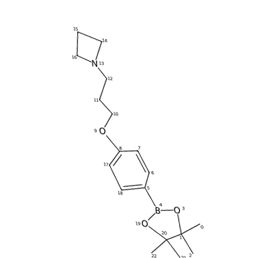 CC1(C)OB(c2ccc(OCCCN3CCC3)cc2)OC1(C)C